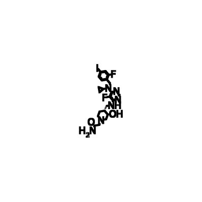 NC(=O)CN1CC[C@H](CNc2ncnc(N(Cc3ccc(I)cc3F)C3CC3)c2F)[C@@H](O)C1